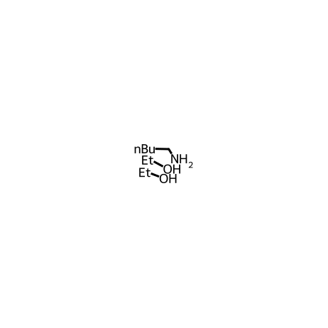 CCCCCN.CCO.CCO